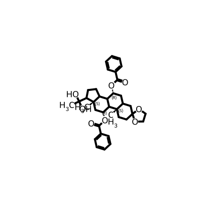 CC(O)(O)C1CCC2C3C([C@H](OC(=O)c4ccccc4)C[C@@]21C)[C@@]1(C)CCC2(CC1C[C@H]3OC(=O)c1ccccc1)OCCO2